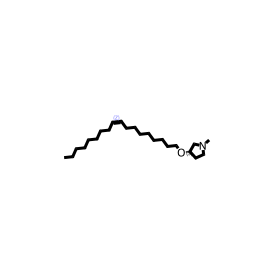 CCCCCCCC/C=C\CCCCCCCCO[C@H]1CCN(C)C1